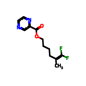 CC(CCCCOC(=O)c1cnccn1)=C(F)F